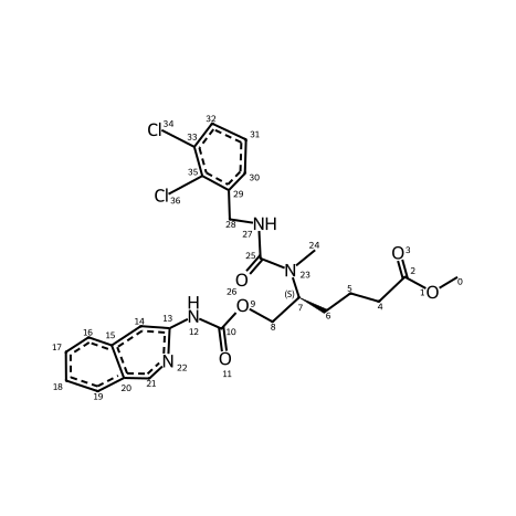 COC(=O)CCC[C@@H](COC(=O)Nc1cc2ccccc2cn1)N(C)C(=O)NCc1cccc(Cl)c1Cl